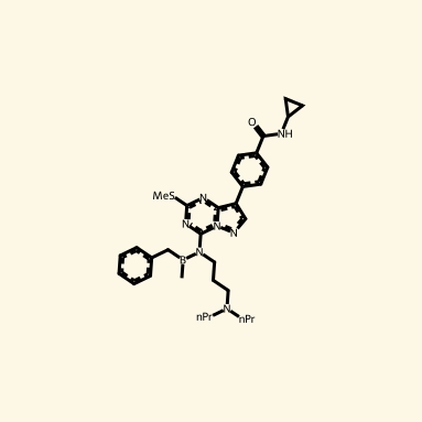 CCCN(CCC)CCCN(B(C)Cc1ccccc1)c1nc(SC)nc2c(-c3ccc(C(=O)NC4CC4)cc3)cnn12